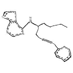 CCCCC(CC#Cc1ccccc1)Nc1ncnc2sccc12